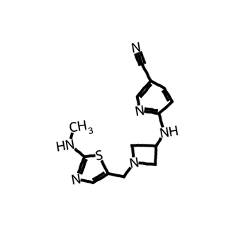 CNc1ncc(CN2CC(Nc3ccc(C#N)cn3)C2)s1